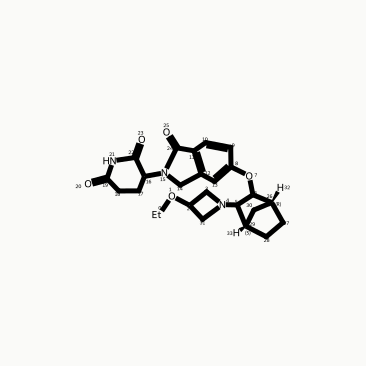 CCOC1CN(C2C(Oc3ccc4c(c3)CN(C3CCC(=O)NC3=O)C4=O)[C@@H]3CC[C@H]2C3)C1